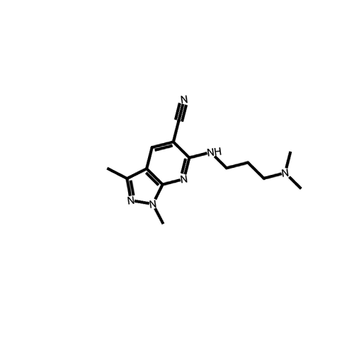 Cc1nn(C)c2nc(NCCCN(C)C)c(C#N)cc12